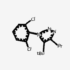 CC(C)c1nnn(-c2c(Cl)cccc2Cl)c1C(C)(C)C